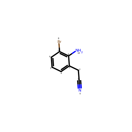 N#CCc1cccc(Br)c1N